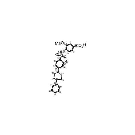 COc1cc(C(=O)O)ccc1NS(=O)(=O)c1ccc(C2CCC(c3ccccc3)CC2)cc1F